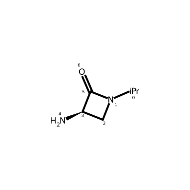 CC(C)N1C[C@@H](N)C1=O